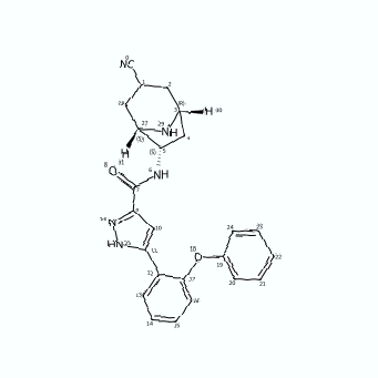 N#CC1C[C@@H]2C[C@H](NC(=O)c3cc(-c4ccccc4Oc4ccccc4)[nH]n3)[C@H](C1)N2